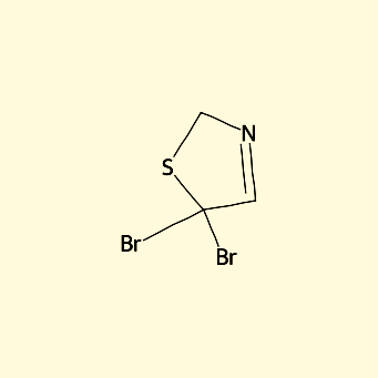 BrC1(Br)C=NCS1